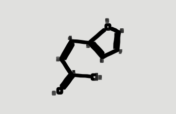 O=C(Cl)/C=C\c1ccco1